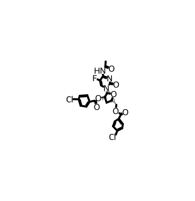 CC(=O)Nc1nc(=O)n([C@@H]2O[C@H](COC(=O)c3ccc(Cl)cc3)C[C@H]2OC(=O)c2ccc(Cl)cc2)cc1F